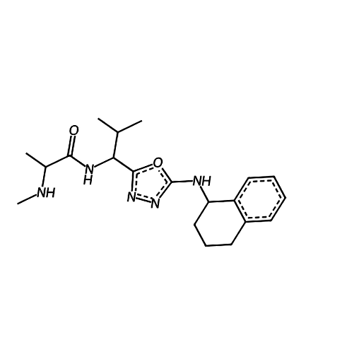 CNC(C)C(=O)NC(c1nnc(NC2CCCc3ccccc32)o1)C(C)C